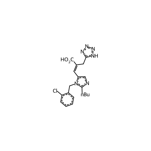 CCCCc1ncc(/C=C(\Cc2nnn[nH]2)C(=O)O)n1Cc1ccccc1Cl